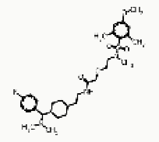 COc1cc(C)c(S(=O)(=O)N(C)CCOCC(=O)NCCC2CCC(C(c3ccc(F)cc3)N(C)C)CC2)c(C)c1